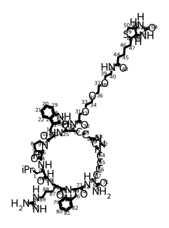 CC(C)C[C@H]1NC(=O)[C@H]2CCCN2C(=O)[C@@H](Cc2c[nH]c3ccccc23)NC(=O)[C@@H](NC(=O)COCCOCCOCCNC(=O)CCCCC2SC[C@H]3NC(=O)N[C@@H]23)CCc2cn(nn2)CCCC[C@@H](C(N)=O)NC(=O)[C@@H](Cc2ccccc2)NC(=O)[C@@H](CCCNC(=N)N)NC1=O